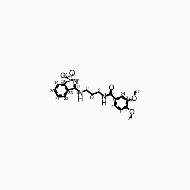 COc1ccc(C(=O)NCCCNC2=NS(=O)(=O)c3ccccc32)cc1OC